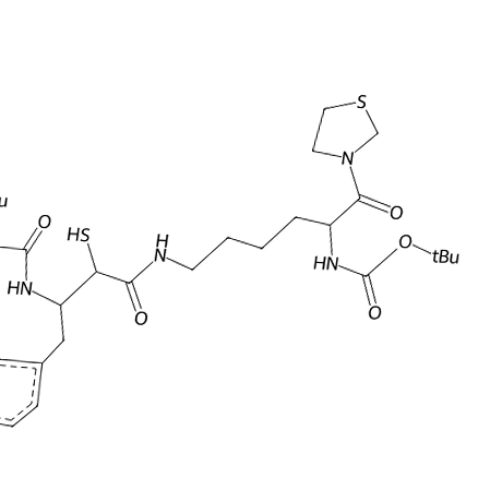 CC(C)(C)OC(=O)NC(CCCCNC(=O)C(S)C(Cc1ccccc1)NC(=O)OC(C)(C)C)C(=O)N1CCSC1